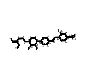 C/C=C(\C=C/CC1=CCC(c2ccc(/C=C/c3ccc(C4CO4)cc3F)cc2)C(F)=C1F)CC